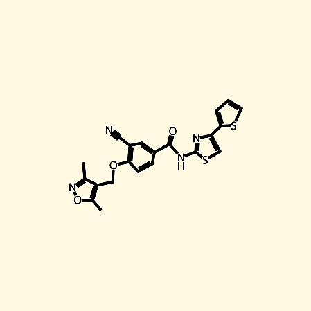 Cc1noc(C)c1COc1ccc(C(=O)Nc2nc(-c3cccs3)cs2)cc1C#N